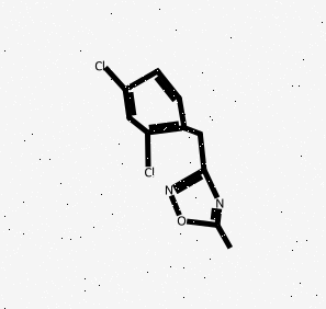 Cc1nc(Cc2ccc(Cl)cc2Cl)no1